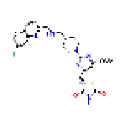 COc1cc(/C=C2\SC(=O)NC2=O)nc(N2CCC(CNCc3ccc4ccc(F)cc4n3)CC2)n1